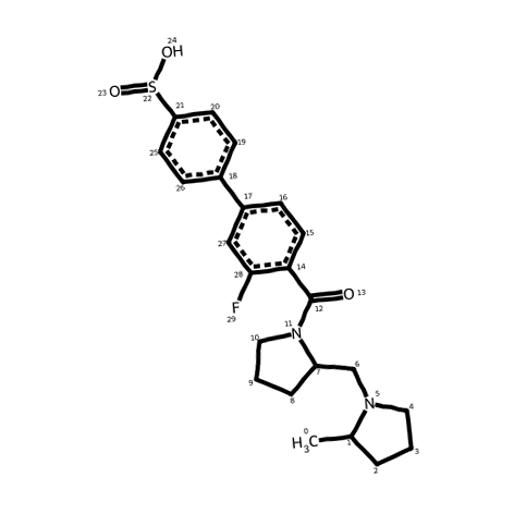 CC1CCCN1CC1CCCN1C(=O)c1ccc(-c2ccc(S(=O)O)cc2)cc1F